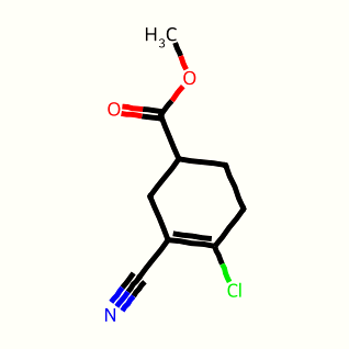 COC(=O)C1CCC(Cl)=C(C#N)C1